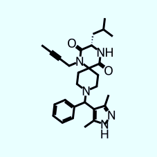 CC#CCN1C(=O)[C@H](CC(C)C)NC(=O)C12CCN(C(c1ccccc1)c1c(C)n[nH]c1C)CC2